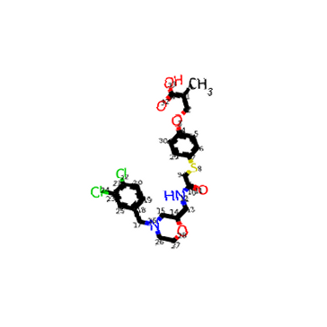 CC(COc1ccc(SCC(=O)NCC2CN(Cc3ccc(Cl)c(Cl)c3)CCO2)cc1)C(=O)O